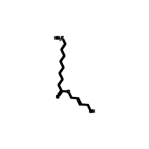 O=C(O)CCCCCCCCC(=O)OCC=CCO